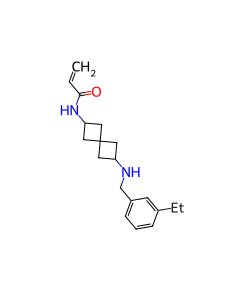 C=CC(=O)NC1CC2(CC(NCc3cccc(CC)c3)C2)C1